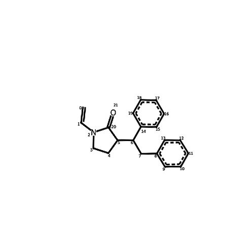 C=CN1CCC(C(Cc2ccccc2)c2ccccc2)C1=O